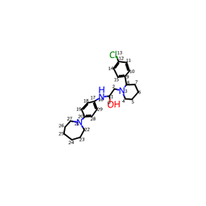 OC(CN1CCCCC1c1ccc(Cl)cc1)Nc1ccc(N2CCCCCC2)cc1